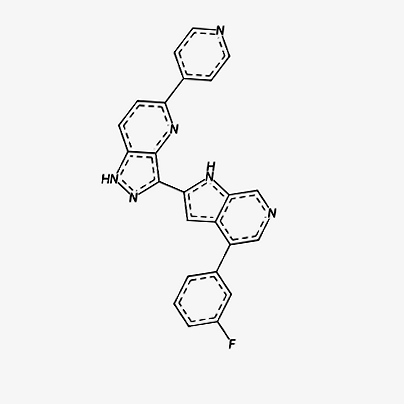 Fc1cccc(-c2cncc3[nH]c(-c4n[nH]c5ccc(-c6ccncc6)nc45)cc23)c1